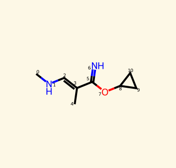 CN/C=C(\C)C(=N)OC1CC1